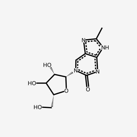 Cc1nc2cn([C@@H]3O[C@H](CO)C(O)[C@@H]3O)c(=O)nc2[nH]1